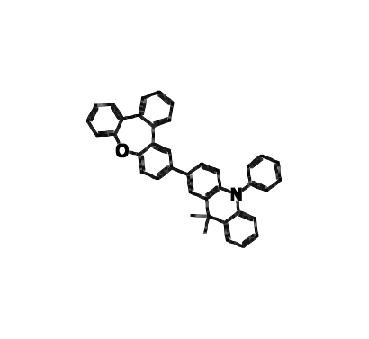 CC1(C)c2ccccc2N(c2ccccc2)c2ccc(-c3ccc4c(c3)-c3ccccc3-c3ccccc3O4)cc21